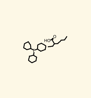 C1CCC(P(C2CCCCC2)C2CCCCC2)CC1.CCCCC(CC)C(=O)O